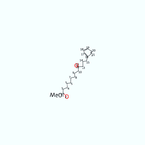 COC(=O)CCCCCCCCC(=O)CCCc1ccccc1